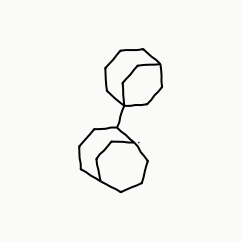 C1C[C]2CCC(C1)CCCC2C12CCCCC(CC1)CC2